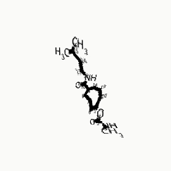 CNC(=O)OC1/C=C/CC(C(=O)NCCC(C)C)CCC1